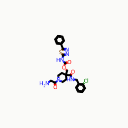 NCC(=O)N1CCC(COC(=O)Nc2nnc(-c3ccccc3)s2)(C(=O)NCc2ccccc2Cl)CC1